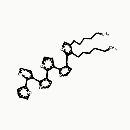 CCCCCCc1coc(-c2ccoc2-c2ccoc2-c2ccoc2-c2ccoc2-c2ccco2)c1CCCCCC